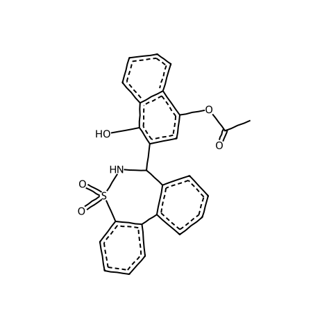 CC(=O)Oc1cc(C2NS(=O)(=O)c3ccccc3-c3ccccc32)c(O)c2ccccc12